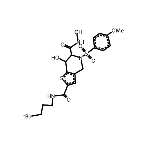 COc1ccc(S(=O)(=O)N2Cc3cc(C(=O)NCCCC(C)(C)C)sc3C(O)C2C(=O)NO)cc1